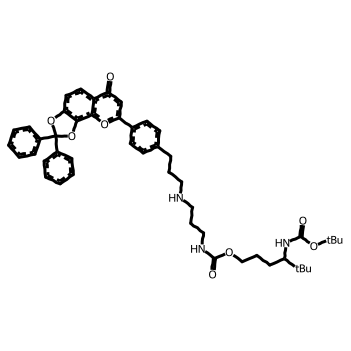 CC(C)(C)OC(=O)NC(CCCOC(=O)NCCCNCCCc1ccc(-c2cc(=O)c3ccc4c(c3o2)OC(c2ccccc2)(c2ccccc2)O4)cc1)C(C)(C)C